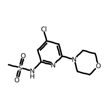 CS(=O)(=O)Nc1cc(Cl)cc(N2CCOCC2)n1